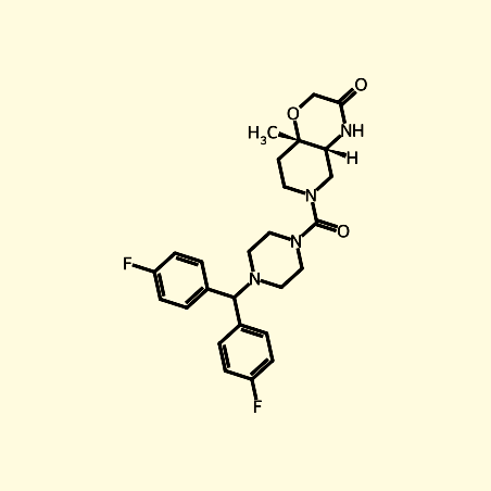 C[C@]12CCN(C(=O)N3CCN(C(c4ccc(F)cc4)c4ccc(F)cc4)CC3)C[C@H]1NC(=O)CO2